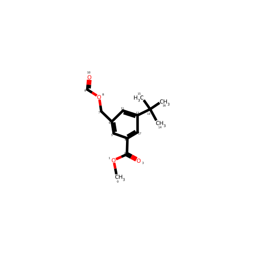 COC(=O)c1cc(COC=O)cc(C(C)(C)C)c1